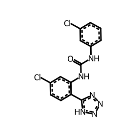 O=C(Nc1cccc(Cl)c1)Nc1cc(Cl)ccc1-c1nnn[nH]1